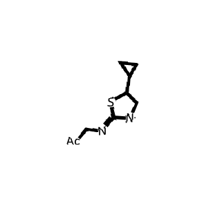 CC(=O)CN=C1[N]CC(C2CC2)S1